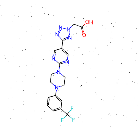 O=C(O)Cn1nnc(-c2cnc(N3CCN(c4cccc(C(F)(F)F)c4)CC3)nc2)n1